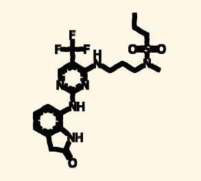 CCCS(=O)(=O)N(C)CCCNc1nc(Nc2cccc3c2NC(=O)C3)ncc1C(F)(F)F